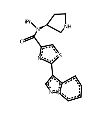 CC(C)N(C(=O)c1csc(-c2cnn3ccccc23)n1)[C@H]1CCNC1